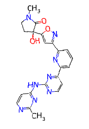 Cc1nccc(Nc2nccc(-c3cccc(-c4cc([C@]5(O)CCN(C)C5=O)on4)n3)n2)n1